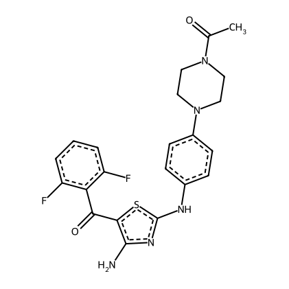 CC(=O)N1CCN(c2ccc(Nc3nc(N)c(C(=O)c4c(F)cccc4F)s3)cc2)CC1